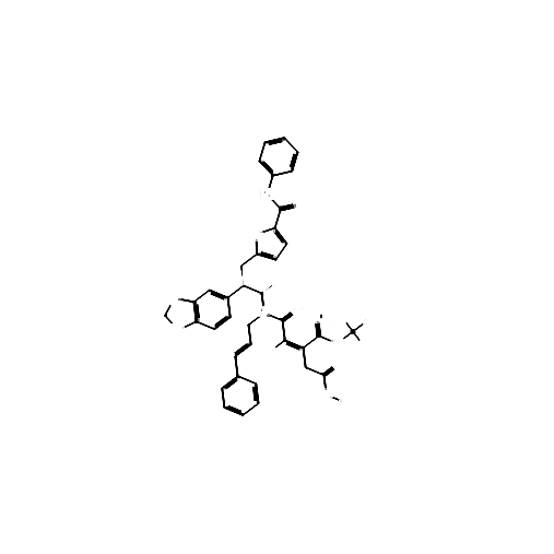 COC(=O)CC(C(=O)OC(C)(C)C)=C(O)C(=O)N(CC=Cc1ccccc1)[C@H](C)[C@H](Cc1ccc(C(=O)Nc2ccccc2)o1)c1ccc2c(c1)OCO2